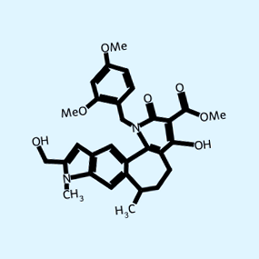 COC(=O)c1c(O)c2c(n(Cc3ccc(OC)cc3OC)c1=O)-c1cc3cc(CO)n(C)c3cc1C(C)CC2